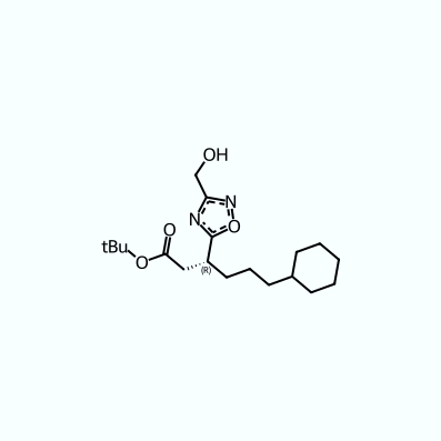 CC(C)(C)OC(=O)C[C@@H](CCCC1CCCCC1)c1nc(CO)no1